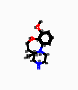 COc1cccc2c1OCC[C@H]1CNCCN21